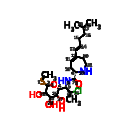 CSC1O[C@H]([C@H](NC(=O)[C@@H]2CC=C(/C=C/CCC(C)C)CCN2)[C@H](C)Cl)C(O)C(O)[C@H]1O